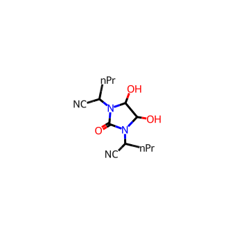 CCCC(C#N)N1C(=O)N(C(C#N)CCC)C(O)C1O